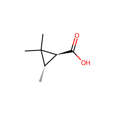 C[C@H]1[C@H](C(=O)O)C1(C)C